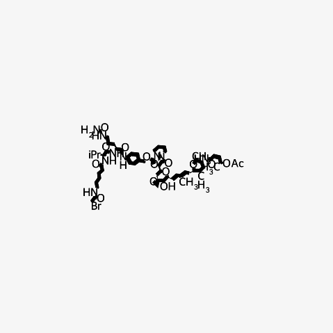 CC(=O)O[C@@H](C)/C=C\C(=O)N[C@@H]1C[C@H](C)[C@H](C/C=C(C)/C=C/[C@H]2O[C@H](CC(=O)N3CCCCN3C(=O)OCc3ccc(NC(=O)[C@H](CCCNC(N)=O)NC(=O)[C@@H](NC(=O)CCCCCNC(=O)CBr)C(C)C)cc3)C[C@@]3(CO3)[C@@H]2O)O[C@@H]1C